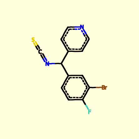 Fc1ccc(C(N=C=S)c2ccncc2)cc1Br